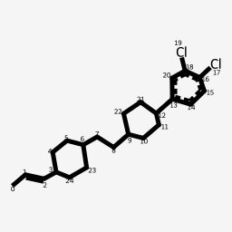 C/C=C/C1CCC(CCC2CCC(c3ccc(Cl)c(Cl)c3)CC2)CC1